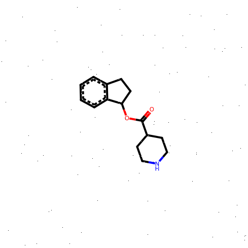 O=C(OC1CCc2ccccc21)C1CCNCC1